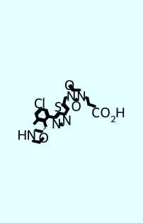 Cc1cc(Cl)cc(-c2ncnc3cc(CN4C(=O)CN(CCCC(=O)O)C4=O)sc23)c1C[C@H]1CNCCO1